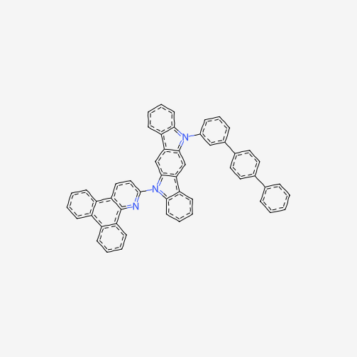 c1ccc(-c2ccc(-c3cccc(-n4c5ccccc5c5cc6c(cc54)c4ccccc4n6-c4ccc5c6ccccc6c6ccccc6c5n4)c3)cc2)cc1